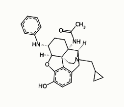 CC(=O)N[C@@]12CC[C@@H](Nc3ccccc3)[C@@H]3Oc4c(O)ccc5c4[C@@]31CCN(CC1CC1)[C@@H]2C5